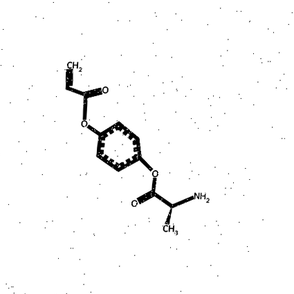 C=CC(=O)Oc1ccc(OC(=O)[C@H](C)N)cc1